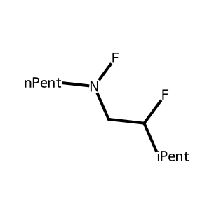 CCCCCN(F)CC(F)C(C)CCC